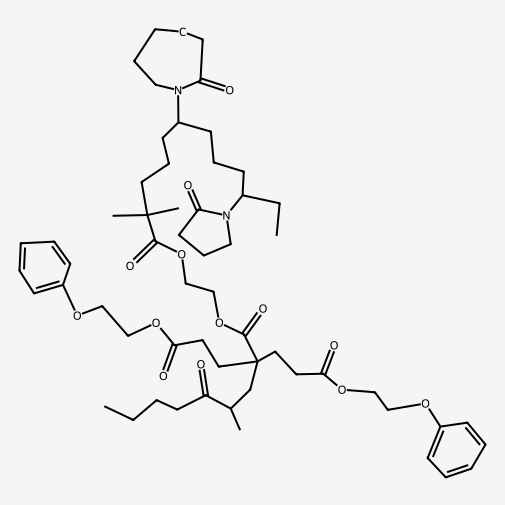 CCCCC(=O)C(C)CC(CCC(=O)OCCOc1ccccc1)(CCC(=O)OCCOc1ccccc1)C(=O)OCCOC(=O)C(C)(C)CCCC(CCCC(CC)N1CCCC1=O)N1CCCCCC1=O